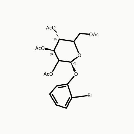 CC(=O)OCC1O[C@@H](Oc2ccccc2Br)C(OC(C)=O)[C@@H](OC(C)=O)[C@@H]1OC(C)=O